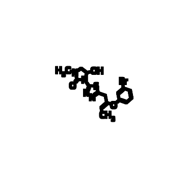 C/C=C(/Cc1nnc(N2C(=O)N(C)CC2O)s1)Oc1cccc(Br)c1